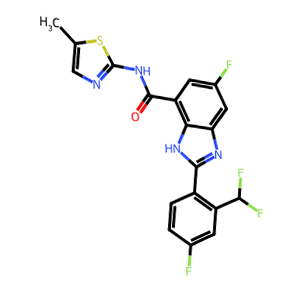 Cc1cnc(NC(=O)c2cc(F)cc3nc(-c4ccc(F)cc4C(F)F)[nH]c23)s1